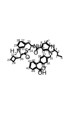 CCCc1nc2c(C)cc(C(=O)N[C@@H](CSC(=O)[C@@H](N)CC3CCC3)Cc3ccccc3)cc2n1Cc1ccc(-c2ccccc2C(=O)O)cc1